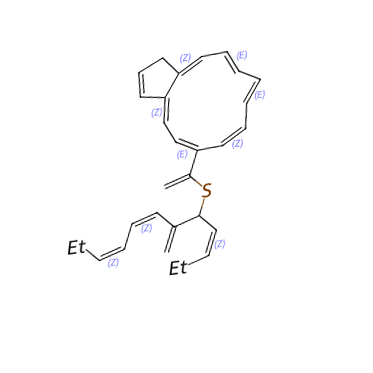 C=C(SC(/C=C\CC)C(=C)/C=C\C=C/CC)C1=C/C=C2/C=CC/C2=C/C=C/C=C/C=C\1